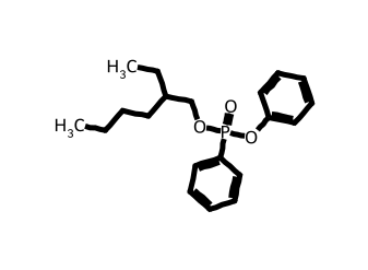 CCCCC(CC)COP(=O)(Oc1ccccc1)c1ccccc1